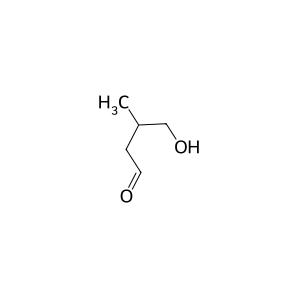 CC(CO)CC=O